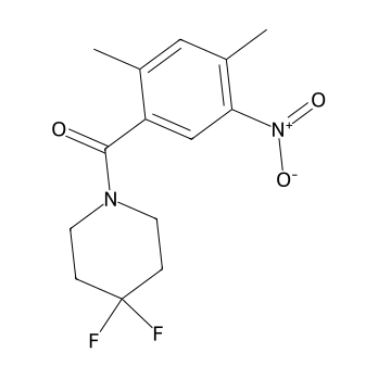 Cc1cc(C)c([N+](=O)[O-])cc1C(=O)N1CCC(F)(F)CC1